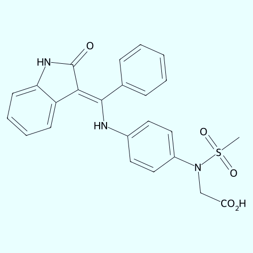 CS(=O)(=O)N(CC(=O)O)c1ccc(NC(=C2C(=O)Nc3ccccc32)c2ccccc2)cc1